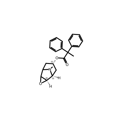 CN1C2C[C@H](OC(=O)C(C)(c3ccccc3)c3ccccc3)C[C@H]1[C@H]1OC21